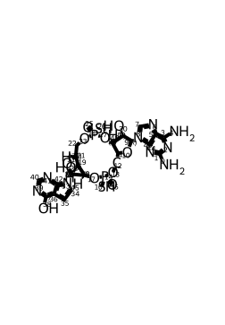 Nc1nc(N)c2ncn([C@@H]3OC4COP(=O)(S)O[C@@H]5[C@H](O)[C@@H](COP(=O)(S)O[C@H]4[C@H]3O)O[C@H]5n3ccc4c(O)ncnc43)c2n1